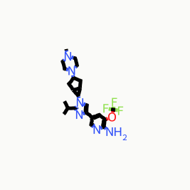 CC(C)c1nc(-c2cnc(N)c(OC(F)(F)F)c2)cn1C1C2CC(N3CCN(C)CC3)CC21